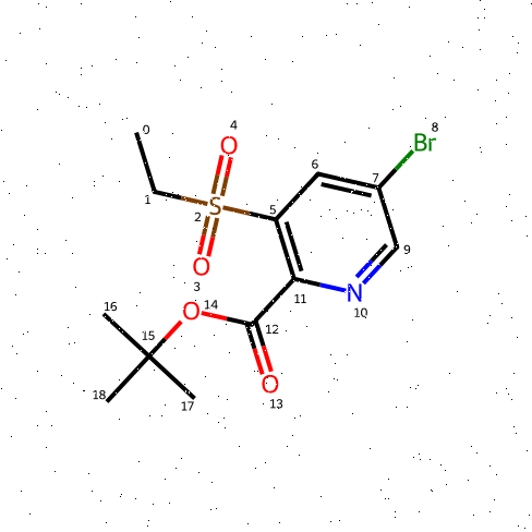 CCS(=O)(=O)c1cc(Br)cnc1C(=O)OC(C)(C)C